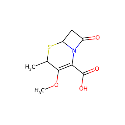 COC1=C(C(=O)O)N2C(=O)CC2SC1C